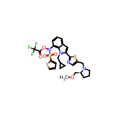 COC[C@@H]1CCCN1Cc1cnc(-c2cc3cccc(N(OC(=O)C(F)(F)F)S(=O)(=O)c4cccs4)c3n2CC2CC2)s1